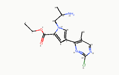 CCOC(=O)c1cc(-c2nc(Cl)ncc2C)cn1CC(C)N